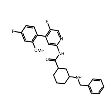 COc1cc(F)ccc1-c1cc(NC(=O)C2CCCC(NCc3ccccc3)C2)ncc1F